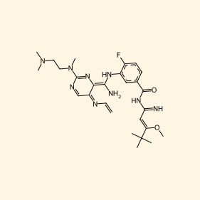 C=C/N=C1/C=NC(N(C)CCN(C)C)=N/C1=C(/N)Nc1cc(C(=O)NC(=N)/C=C(\OC)C(C)(C)C)ccc1F